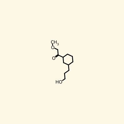 COCC(=O)C1CCCC(CCCO)C1